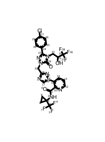 O=C(NC1(C(F)(F)F)CC1)c1ncccc1-n1cnc(Cn2nc(-c3ccc(Cl)cc3)n(CC(O)C(F)(F)F)c2=O)n1